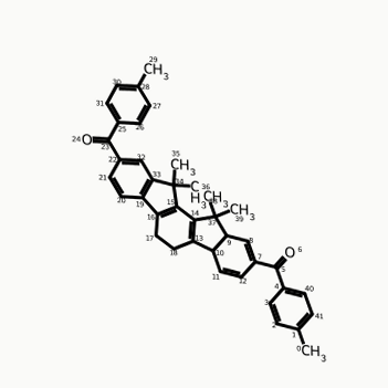 Cc1ccc(C(=O)C2=CC3C(C=C2)C2=C(C4=C(CC2)c2ccc(C(=O)c5ccc(C)cc5)cc2C4(C)C)C3(C)C)cc1